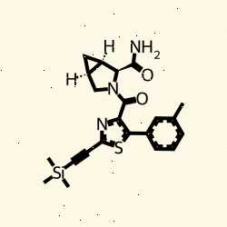 Cc1cccc(-c2sc(C#C[Si](C)(C)C)nc2C(=O)N2C[C@H]3C[C@H]3[C@H]2C(N)=O)c1